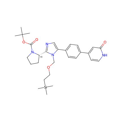 CC(C)(C)OC(=O)N1CCC[C@H]1c1ncc(-c2ccc(-c3cc[nH]c(=O)c3)cc2)n1COCC[Si](C)(C)C